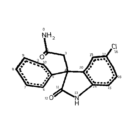 NC(=O)CC1(c2ccccc2)C(=O)Nc2ccc(Cl)cc21